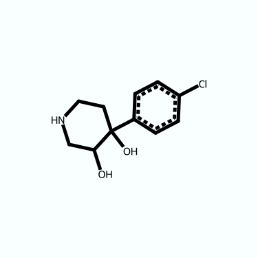 OC1CNCCC1(O)c1ccc(Cl)cc1